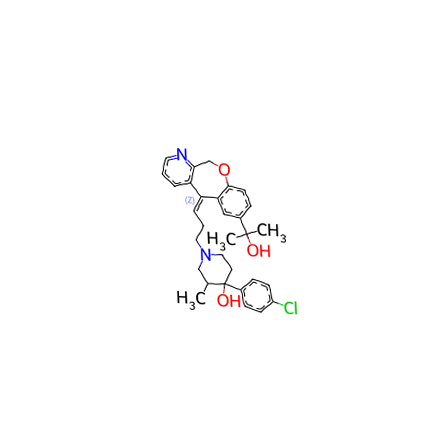 CC1CN(CC/C=C2\c3cc(C(C)(C)O)ccc3OCc3ncccc32)CCC1(O)c1ccc(Cl)cc1